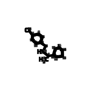 CC(NCc1ccc(Cl)cc1)c1ccccc1